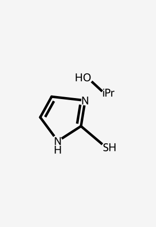 CC(C)O.Sc1ncc[nH]1